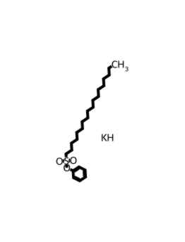 CCCCCCCCCCCCCCCCCCS(=O)(=O)Oc1ccccc1.[KH]